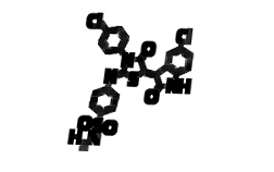 NS(=O)(=O)c1ccc(/N=C2\S/C(=C3\C(=O)Nc4ccc(Cl)cc43)C(=O)N2c2ccc(Cl)cc2)cc1